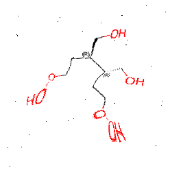 OC[C@H](CCOO)[C@H](CO)CCOO